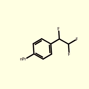 CCCc1ccc(C(F)C(F)F)cc1